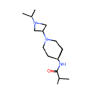 CC(C)C(=O)NC1CCN(C2CN(C(C)C)C2)CC1